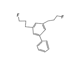 FCCCc1cc(CCCF)cc(-c2ccccc2)c1